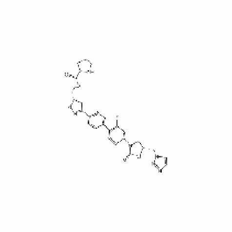 O=C(OC[C@@H]1CC(c2ccc(-c3ccc(N4C[C@H](Cn5ccnn5)OC4=O)cc3F)cn2)=NO1)C1CCCN1